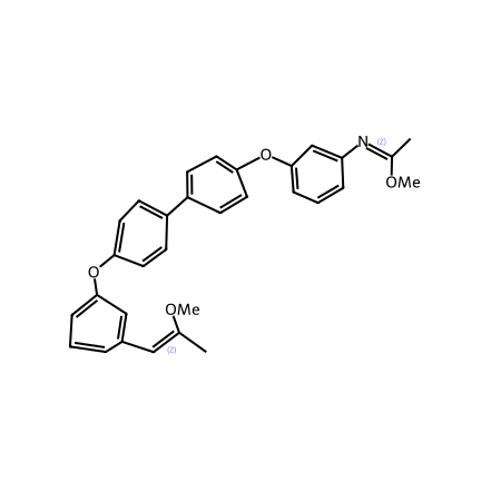 CO/C(C)=C\c1cccc(Oc2ccc(-c3ccc(Oc4cccc(/N=C(/C)OC)c4)cc3)cc2)c1